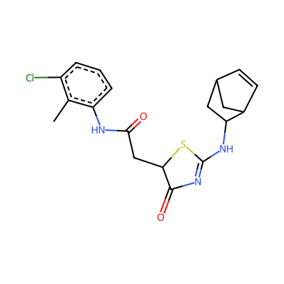 Cc1c(Cl)cccc1NC(=O)CC1SC(NC2CC3C=CC2C3)=NC1=O